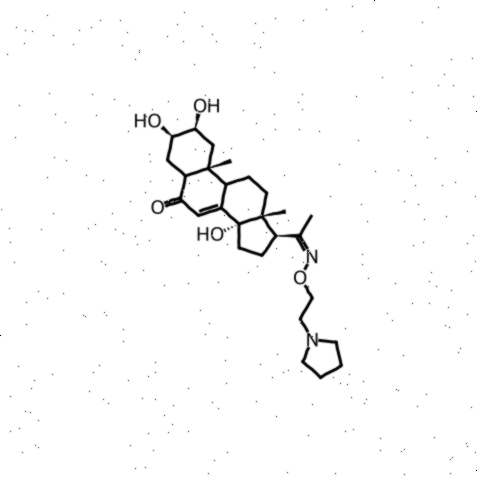 C/C(=N/OCCN1CCCC1)[C@H]1CC[C@@]2(O)C3=CC(=O)C4C[C@@H](O)[C@@H](O)C[C@]4(C)C3CC[C@]12C